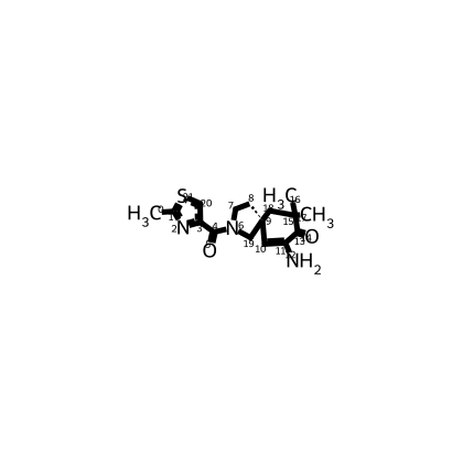 Cc1nc(C(=O)N2CC[C@]3(C=C(N)C(=O)C(C)(C)C3)C2)cs1